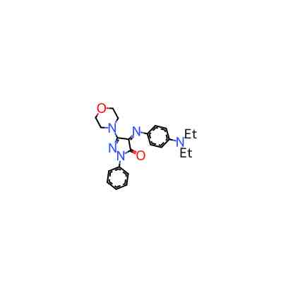 CCN(CC)c1ccc(N=C2C(=O)N(c3ccccc3)N=C2N2CCOCC2)cc1